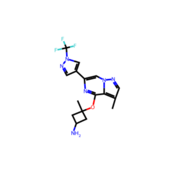 Cc1cnn2cc(-c3cnn(C(F)(F)F)c3)nc(OC3(C)CC(N)C3)c12